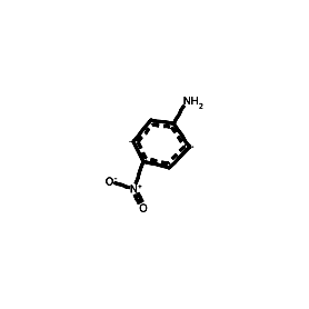 Nc1[c]cc([N+](=O)[O-])[c]c1